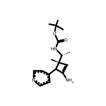 C[C@@H](NC(=O)OC(C)(C)C)[C@]1(C)C=C(N)C1c1ccncc1